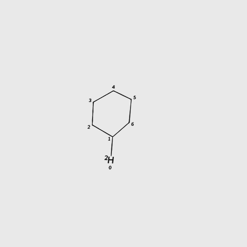 [2H]C1CCCCC1